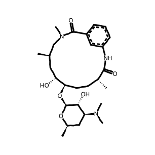 C[C@@H]1C[C@@H](O)[C@H](O[C@@H]2O[C@H](C)C[C@H](N(C)C)[C@H]2O)CC[C@@H](C)C(=O)Nc2cccc(c2)C(=O)N(C)C1